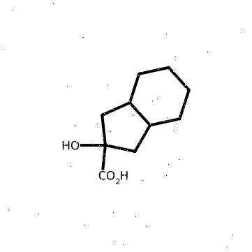 O=C(O)C1(O)CC2CCCCC2C1